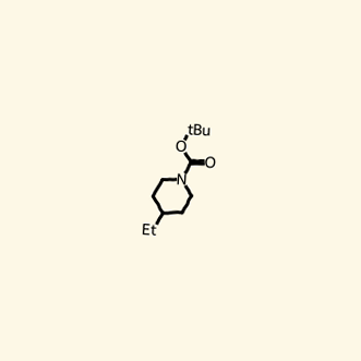 [CH2]CC1CCN(C(=O)OC(C)(C)C)CC1